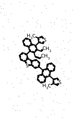 C=Cc1c(/C=C\C)c(-c2cccc3sc4cc(-c5c6ccccc6c(-c6cscc6C)c6ccccc56)ccc4c23)c2ccccc2c1-c1cscc1C